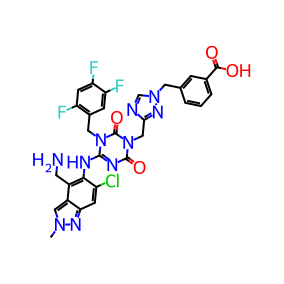 Cn1cc2c(CN)c(Nc3nc(=O)n(Cc4ncn(Cc5cccc(C(=O)O)c5)n4)c(=O)n3Cc3cc(F)c(F)cc3F)c(Cl)cc2n1